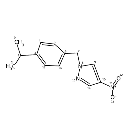 CC(C)c1ccc(Cn2cc([N+](=O)[O-])cn2)cc1